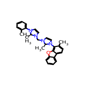 Cc1ccccc1N1C=CN(CN2C=CN(c3c(C)ccc4c3oc3ccccc34)[C@H]2C)[C@H]1C